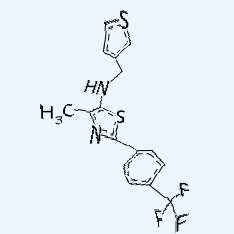 Cc1nc(-c2ccc(C(F)(F)F)cc2)sc1NCc1ccsc1